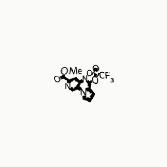 COC(=O)c1cc2nc(OS(=O)(=O)C(F)(F)F)c3cccn3c2cn1